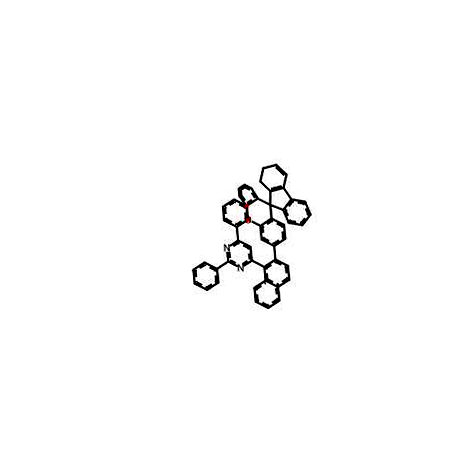 C1=CC2=C(CC1)C1(c3ccccc3Oc3cc(-c4ccc5ccccc5c4-c4cc(-c5ccccc5)nc(-c5ccccc5)n4)ccc31)c1ccccc12